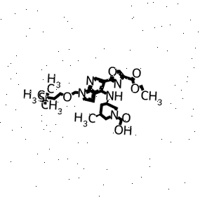 CCOC(=O)c1coc(-c2cnc3c(ccn3COCC[Si](C)(C)C)c2N[C@@H]2C[C@H](C)CN(C(=O)O)C2)n1